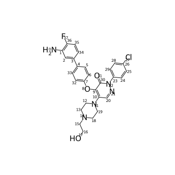 Nc1cc(-c2ccc(Oc3c(N4CCN(CCO)CC4)cnn(-c4ccc(Cl)cc4)c3=O)cc2)ccc1F